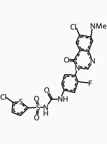 CNc1cc2ncn(-c3ccc(NC(=O)NS(=O)(=O)c4ccc(Cl)s4)cc3F)c(=O)c2cc1Cl